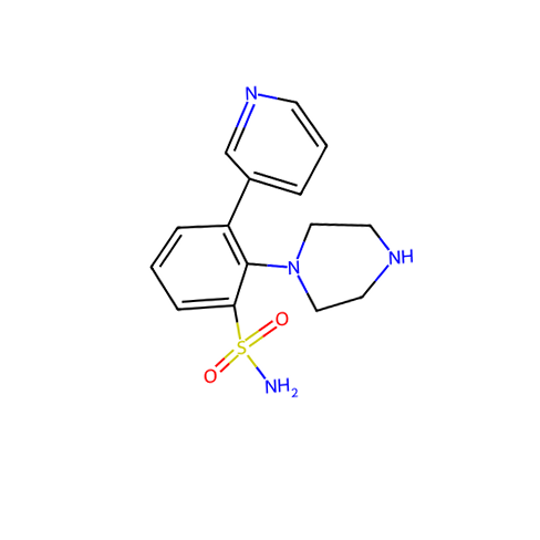 NS(=O)(=O)c1cccc(-c2cccnc2)c1N1CCNCC1